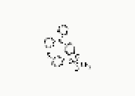 O=S(=O)(Oc1ccc(Sc2ccccc2)cc1)C(F)(F)F.c1ccc(Sc2ccccc2)cc1